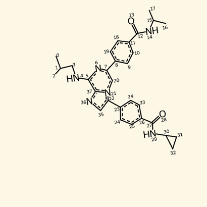 CC(C)CNc1nc(-c2ccc(C(=O)NC(C)C)cc2)cn2c(-c3ccc(C(=O)NC4CC4)cc3)cnc12